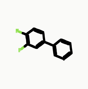 Fc1ccc(-c2c[c]ccc2)cc1F